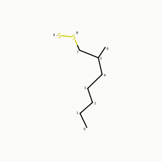 CCCCCC(C)CS[S]